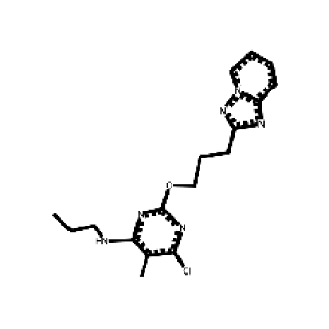 CCCNc1nc(OCCCc2nc3ccccn3n2)nc(Cl)c1C